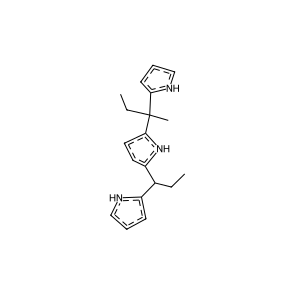 CCC(c1ccc[nH]1)c1ccc(C(C)(CC)c2ccc[nH]2)[nH]1